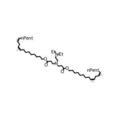 CCCCC/C=C\C/C=C\CCCCCCCCOC(=O)CCN(CCC(=O)OCCCCCCCC/C=C\C/C=C\CCCCC)CCN(CC)CC